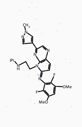 COc1cc(OC)c(F)c(/N=c2\ccc3ncc(-c4cnn(C)c4)nc3n2CCNC(C)C)c1F